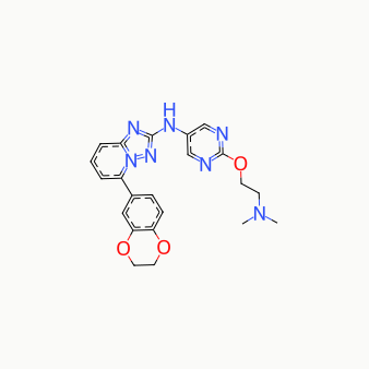 CN(C)CCOc1ncc(Nc2nc3cccc(-c4ccc5c(c4)OCCO5)n3n2)cn1